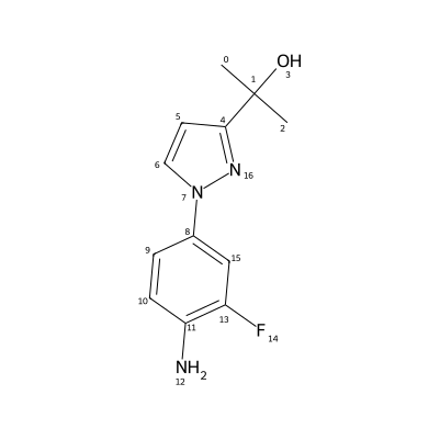 CC(C)(O)c1ccn(-c2ccc(N)c(F)c2)n1